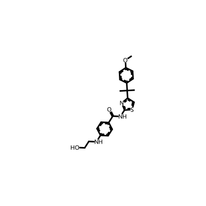 COc1ccc(C(C)(C)c2csc(NC(=O)c3ccc(NCCO)cc3)n2)cc1